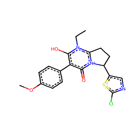 CCn1c(O)c(-c2ccc(OC)cc2)c(=O)[n+]2c1CCC2c1cnc(Cl)s1